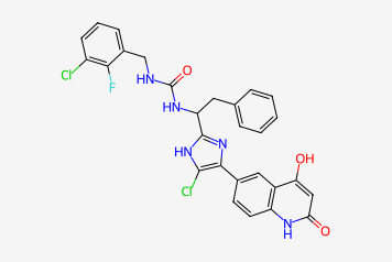 O=C(NCc1cccc(Cl)c1F)NC(Cc1ccccc1)c1nc(-c2ccc3[nH]c(=O)cc(O)c3c2)c(Cl)[nH]1